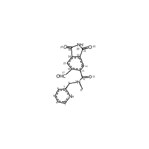 CN(Cc1ccccn1)C(=O)c1cc2c(cc1C=O)C(=O)NC2=O